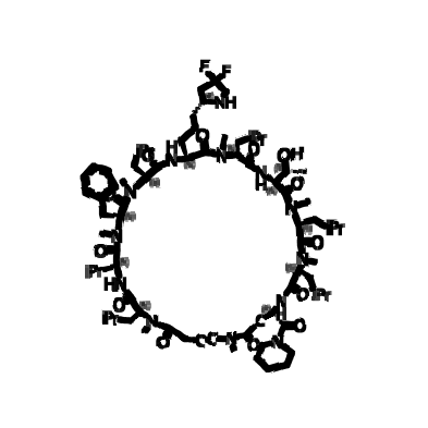 CC(C)C[C@H]1C(=O)N[C@@H](C(C)C)C(=O)N(C)[C@@H](Cc2ccccc2)C(=O)N(C)[C@@H](CC(C)C)C(=O)N[C@@H](CCC[C@@H]2CC(F)(F)CN2)C(=O)N(C)[C@@H](CC(C)C)C(=O)N[C@@H]([C@@H](C)O)C(=O)N(C)[C@@H](CC(C)C)C(=O)N(C)[C@@H](CC(C)C)C(=O)N[C@H](C(=O)N2CCCCC2)CC(=O)N(C)CCCC(=O)N1C